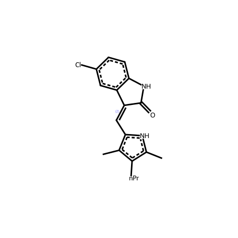 CCCc1c(C)[nH]c(/C=C2\C(=O)Nc3ccc(Cl)cc32)c1C